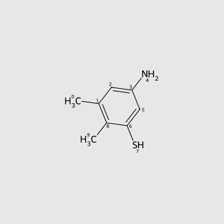 Cc1cc(N)cc(S)c1C